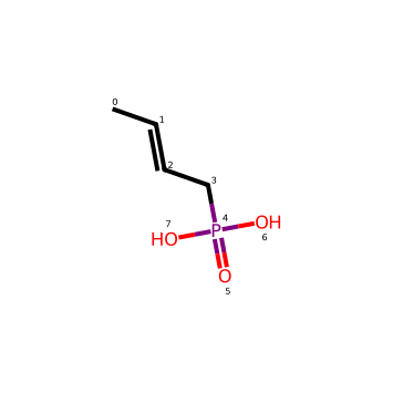 C/C=C/CP(=O)(O)O